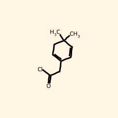 CC1(C)C=CC(CC(=O)Cl)=CC1